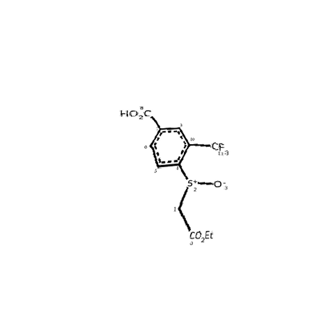 CCOC(=O)C[S+]([O-])c1ccc(C(=O)O)cc1C(F)(F)F